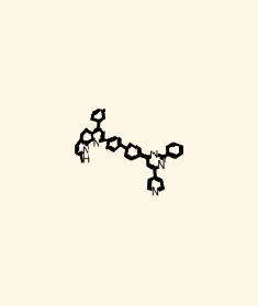 CC1C=CC2=C(N1)c1nc(-c3ccc(-c4ccc(-c5cc(-c6ccncc6)nc(-c6ccccc6)n5)cc4)cc3)cc(C3C=CC=CC3)c1CC2